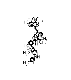 Cc1ccc(Nc2ncc3c(n2)N(C)C(=O)N(c2cc(C(=O)N[C@H](C(=O)N4CCC[C@@H]4C(=O)NCC(=O)N[C@@H](CC(C)C)C(=O)N(C)C)C(C)C)ccc2C)C3)cn1